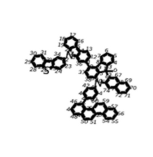 CC1(C)c2ccccc2-c2c(-c3ccc4c5ccccc5n(-c5ccc6sc7ccccc7c6c5)c4c3)ccc(N(c3ccc(-c4cccc5ccc6c7ccccc7ccc6c45)cc3)c3ccc4ccccc4c3)c21